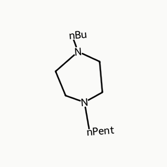 [CH2]CCCCN1CCN(CCCC)CC1